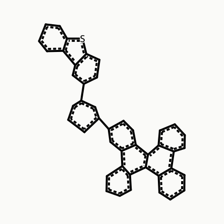 c1cc(-c2ccc3sc4ccccc4c3c2)cc(-c2ccc3c(c2)c2ccccc2c2c4ccccc4c4ccccc4c32)c1